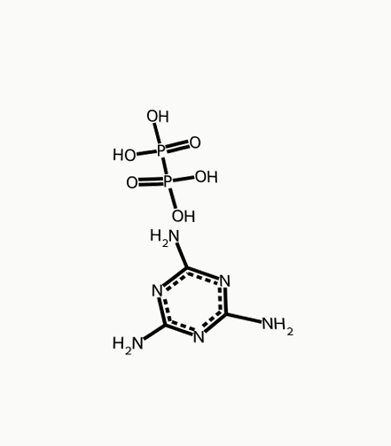 Nc1nc(N)nc(N)n1.O=P(O)(O)P(=O)(O)O